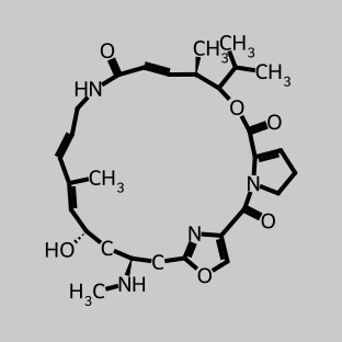 CN[C@@H]1Cc2nc(co2)C(=O)N2CCC=C2C(=O)OC(C(C)C)[C@H](C)/C=C/C(=O)NC/C=C/C(C)=C/[C@@H](O)C1